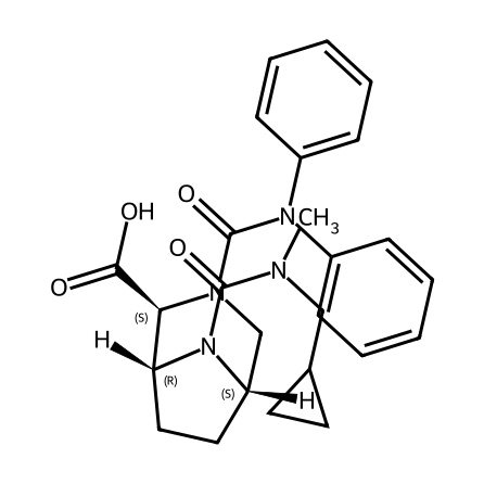 CN(CC1CC1)C(=O)N1[C@H]2CC[C@@H]1[C@@H](C(=O)O)N(C(=O)N(c1ccccc1)c1ccccc1)C2